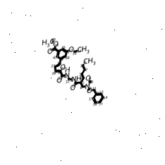 CCCCCC(CN(C=O)OCc1ccccc1)C(=O)NCNC(=O)c1ccc(-c2cc(OCC)cc(C(=O)OC)c2)o1